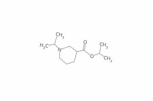 CC(C)OC(=O)C1CCCN(C(C)C)C1